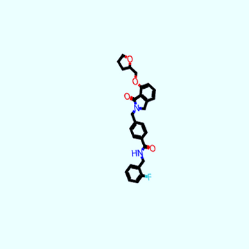 O=C(NCc1ccccc1F)c1ccc(CN2Cc3cccc(OCC4CCCO4)c3C2=O)cc1